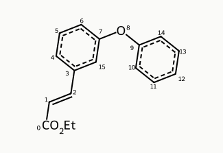 CCOC(=O)/C=C/c1cccc(Oc2ccccc2)c1